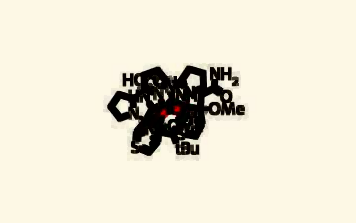 CO[C@@]1(CC(N)=O)c2csc(n2)[C@]1(C(=O)NC(=O)O)N1CCCC1[C@H]1CC[C@H](C2CCCN2[C@@]2(C(=O)NC(=O)O)c3nc(cs3)[C@]2(CC(N)=O)OC)N1c1ccc(C(C)(C)C)cc1